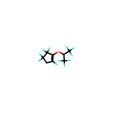 FC1=C(OC(C(F)(F)F)C(F)(F)F)C(F)(F)C(F)(F)C1